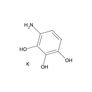 Nc1ccc(O)c(O)c1O.[K]